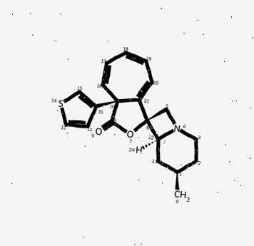 C[C@@H]1CCN2C[C@]3(OC(=O)[C@]4(c5ccsc5)C=CC=CC=C43)[C@@H]2C1